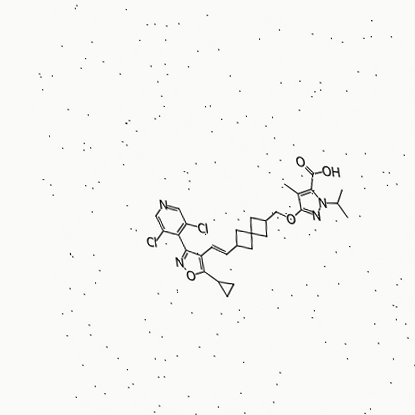 Cc1c(OCC2CC3(CC(/C=C/c4c(-c5c(Cl)cncc5Cl)noc4C4CC4)C3)C2)nn(C(C)C)c1C(=O)O